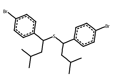 CC(C)CC(SC(CC(C)C)c1ccc(Br)cc1)c1ccc(Br)cc1